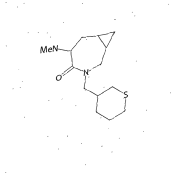 CNC1CC2CC2CN(CC2CCCSC2)C1=O